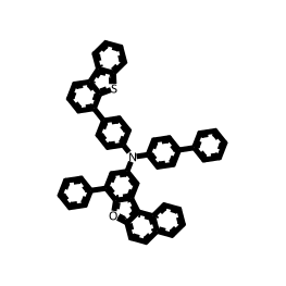 c1ccc(-c2ccc(N(c3ccc(-c4cccc5c4sc4ccccc45)cc3)c3cc(-c4ccccc4)c4oc5ccc6ccccc6c5c4c3)cc2)cc1